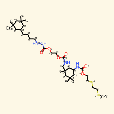 CCCSCCSCCOC(=O)NC1CC(C)(C)CC(C)(CNC(=O)OCCOC(=O)NNCCCCC2CC(C)(C)CC(C)(CC)C2)C1